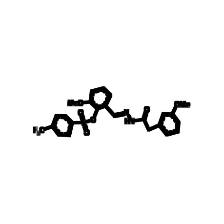 COc1cccc(CC(=O)N/N=C/c2cccc(OC)c2OS(=O)(=O)c2ccc(C(F)(F)F)cc2)c1